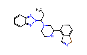 CCC(N1CCNC(c2cccc3sncc23)C1)n1nc2ccccc2n1